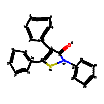 O=c1c(-c2ccccc2)c(-c2ccccc2)sn1-c1ccccc1